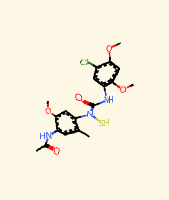 COc1cc(OC)c(NC(=O)N(S)c2cc(OC)c(NC(C)=O)cc2C)cc1Cl